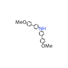 COc1ccc(-c2ccc(Nc3ccc(-c4ccc(OC)cc4)cc3)cc2)cc1